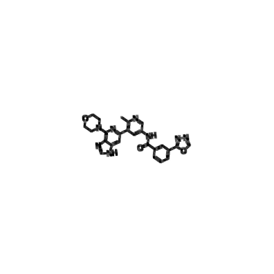 Cc1ncc(NC(=O)c2cccc(-c3nnco3)c2)cc1-c1cc2[nH]cnc2c(N2CCOCC2)n1